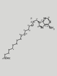 CCCCCCCCCCCCCCCCCCSSCCCO[C@H](C)Cn1cnc2c(N)ncnc21